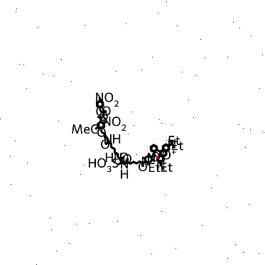 CCN(CC)c1ccc2c(-c3ccccc3C(=O)N3CCN(C(=O)CCCCC(=O)NC(CS(=O)(=O)O)C(=O)NCCCCCC(=O)NCCOc4cc([N+](=O)[O-])c(C(C)OC(=O)Oc5ccc([N+](=O)[O-])cc5)cc4OC)CC3)c3ccc(N(CC)CC)cc3[o+]c2c1